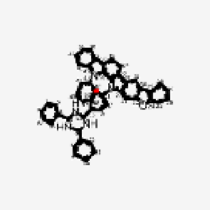 c1ccc(C2NC(c3ccccc3)NC(c3ccc(-n4c5cc6oc7ccccc7c6cc5c5ccc6c7ccccc7n(-c7ccccc7)c6c54)cc3)N2)cc1